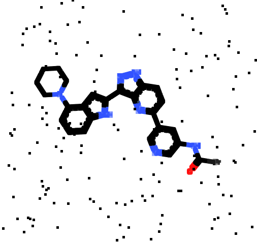 CC(C)C(=O)Nc1cncc(-c2ccc3[nH]nc(-c4cc5c(N6CCCCC6)cccc5[nH]4)c3n2)c1